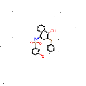 COc1cccc(S(=O)(=O)Nc2cc(Sc3ccccc3)c(O)c3ccccc23)c1